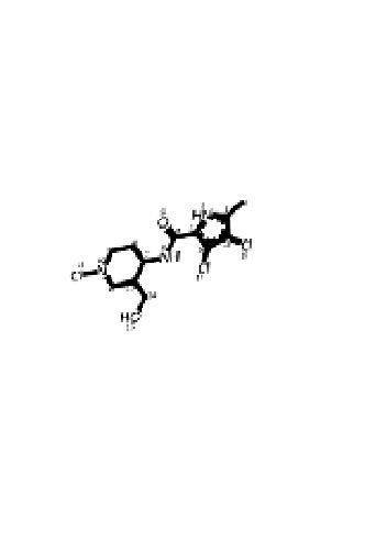 Cc1[nH]c(C(=O)NC2CCN(Cl)CC2CO)c(Cl)c1Cl